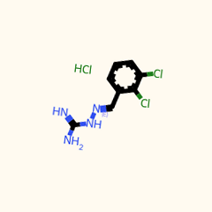 Cl.N=C(N)N/N=C/c1cccc(Cl)c1Cl